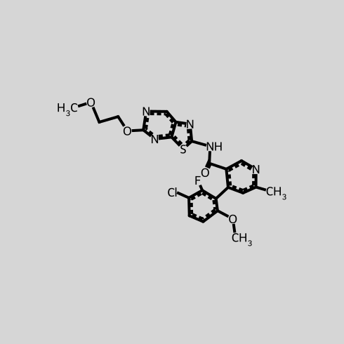 COCCOc1ncc2nc(NC(=O)c3cnc(C)cc3-c3c(OC)ccc(Cl)c3F)sc2n1